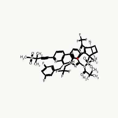 CC(C)(C)C(=O)N(c1nn(CC(F)(F)F)c2c(-c3ccc(C#CC(C)(C)S(C)(=O)=O)nc3[C@H](Cc3cc(F)cc(F)c3)NC(=O)Cn3nc(C(F)(F)F)c4c3C(F)(F)[C@@H]3CC[C@H]43)ccc(Cl)c12)S(C)(=O)=O